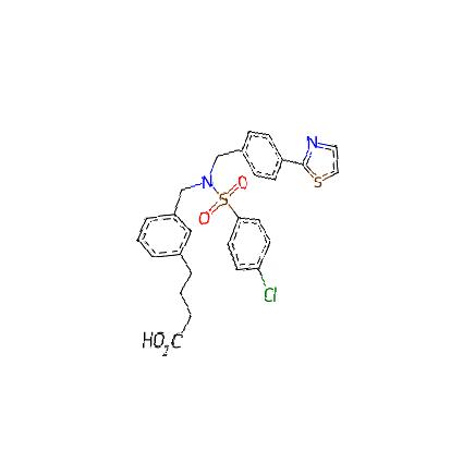 O=C(O)CCCc1cccc(CN(Cc2ccc(-c3nccs3)cc2)S(=O)(=O)c2ccc(Cl)cc2)c1